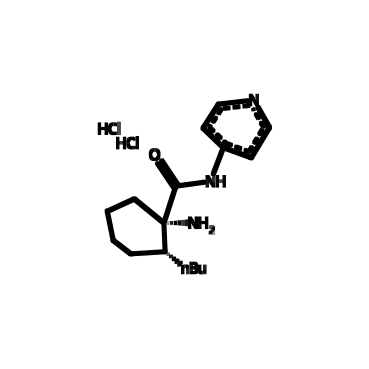 CCCC[C@@H]1CCCC[C@@]1(N)C(=O)Nc1ccncc1.Cl.Cl